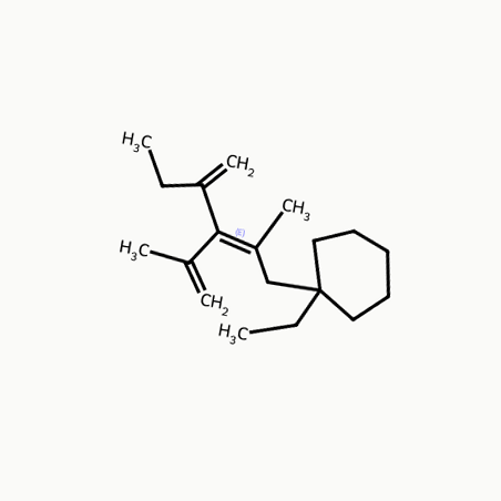 C=C(C)/C(C(=C)CC)=C(/C)CC1(CC)CCCCC1